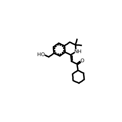 CC1(C)Cc2ccc(CO)cc2C(=CC(=O)C2CCCCC2)N1